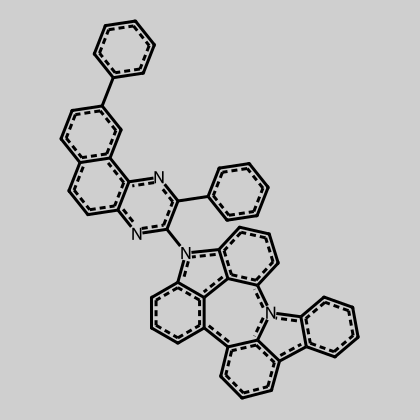 c1ccc(-c2ccc3ccc4nc(-n5c6cccc7c8cccc9c%10ccccc%10n(c%10cccc5c%10c76)c89)c(-c5ccccc5)nc4c3c2)cc1